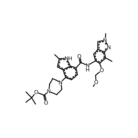 COCOc1c(NC(=O)c2ccc(N3CCN(C(=O)OC(C)(C)C)CC3)c3cc(C)[nH]c23)cc2cn(C)nc2c1C